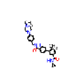 Cc1ccc(C(=O)NC2CC2)cc1-c1ccc(C(=O)NCc2ccc(N3CCN(C)CC3)cc2)cc1